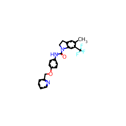 Cc1cc2c(cc1C(F)(F)F)N(C(=O)Nc1ccc(OCc3ccccn3)cc1)CC2